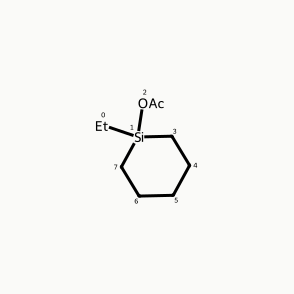 CC[Si]1(OC(C)=O)CCCCC1